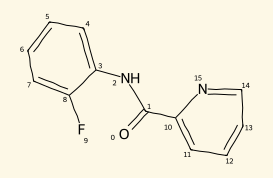 O=C(Nc1ccccc1F)c1ccccn1